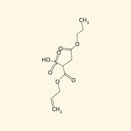 C=CCOC(=O)C(CC(=O)OCCC)S(=O)(=O)O